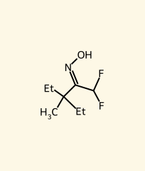 CCC(C)(CC)C(=NO)C(F)F